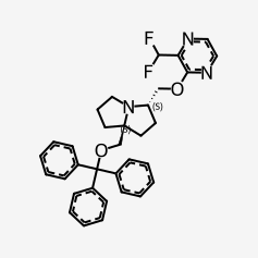 FC(F)c1nccnc1OC[C@@H]1CC[C@]2(COC(c3ccccc3)(c3ccccc3)c3ccccc3)CCCN12